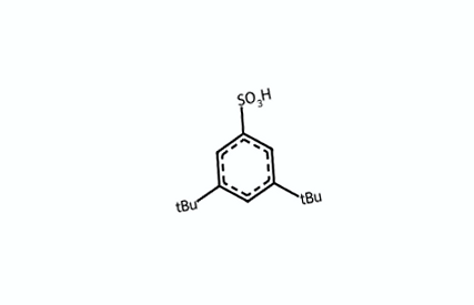 CC(C)(C)c1cc(C(C)(C)C)cc(S(=O)(=O)O)c1